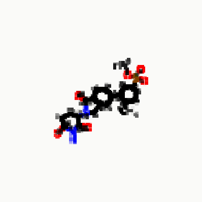 CCCOS(=O)(=O)c1ccc(C)c(-c2ccc3c(c2)CN(C2CCC(=O)NC2=O)C3=O)c1